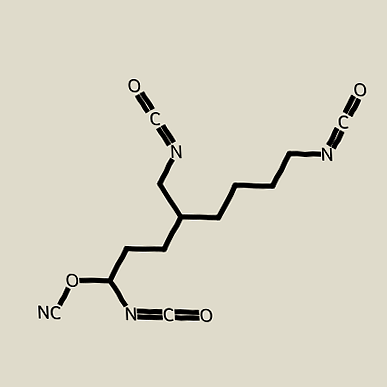 N#COC(CCC(CCCCN=C=O)CN=C=O)N=C=O